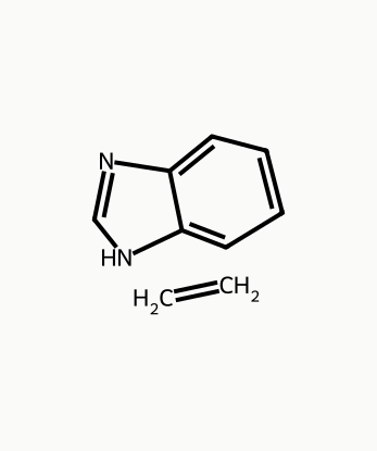 C=C.c1ccc2[nH]cnc2c1